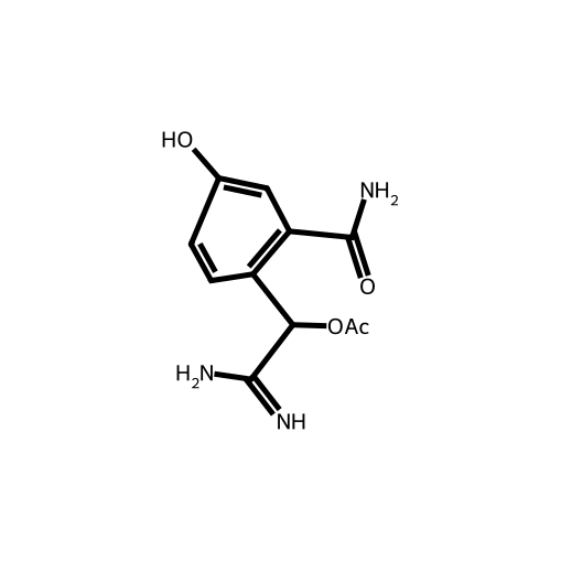 CC(=O)OC(C(=N)N)c1ccc(O)cc1C(N)=O